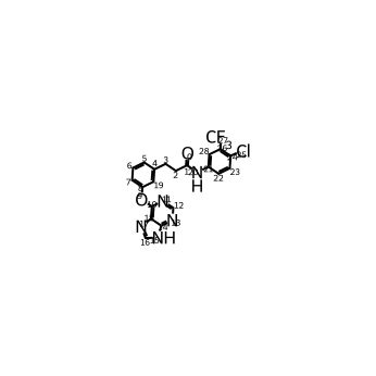 O=C(CCc1cccc(Oc2ncnc3[nH]cnc23)c1)Nc1ccc(Cl)c(C(F)(F)F)c1